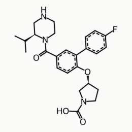 CC(C)[C@H]1CNCCN1C(=O)c1ccc(O[C@H]2CCN(C(=O)O)C2)c(-c2ccc(F)cc2)c1